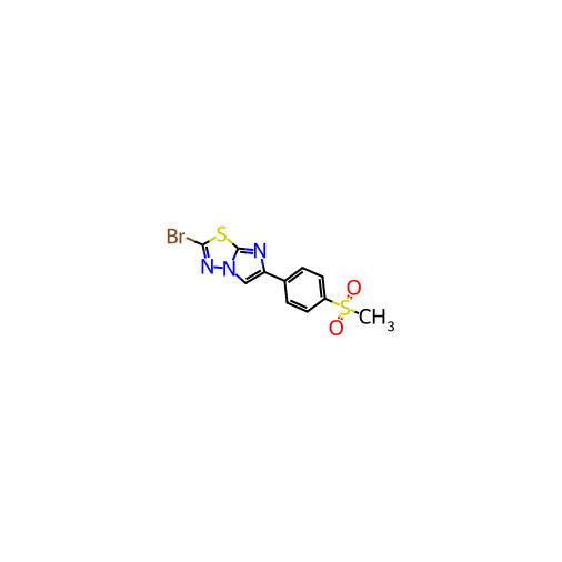 CS(=O)(=O)c1ccc(-c2cn3nc(Br)sc3n2)cc1